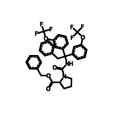 O=C(OCc1ccccc1)C1CCCN1C(=O)NC(Cc1ccccc1)(c1cccc(OC(F)(F)F)c1)c1cccc(OC(F)(F)F)c1